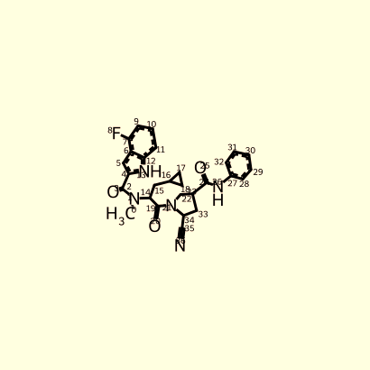 CN(C(=O)c1cc2c(F)cccc2[nH]1)C(CC1CC1)C(=O)N1CC(C(=O)Nc2ccccc2)CC1C#N